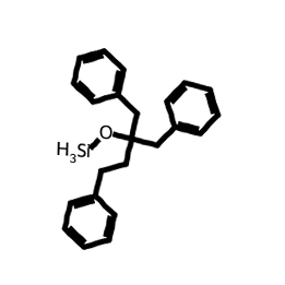 [SiH3]OC(CCc1ccccc1)(Cc1ccccc1)Cc1ccccc1